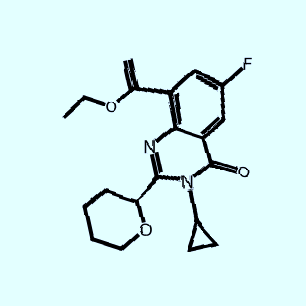 C=C(OCC)c1cc(F)cc2c(=O)n(C3CC3)c([C@@H]3CCCCO3)nc12